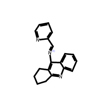 C(=N\c1c2c(nc3ccccc13)CCCC2)/c1ccccn1